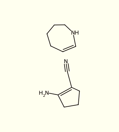 C1=CNCCCC1.N#CC1=C(N)CCC1